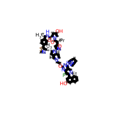 CCc1cccc2cc(O)cc(-c3ncc4c(N5CC6CCC(C5)N6)nc(OCCN5CC[C@H]6[C@H](CCN6c6cc([C@H](C(=O)N7C[C@H](O)C[C@H]7C(=O)N[C@@H](C)c7ccc(-c8scnc8C)cc7)C(C)C)on6)C5)nc4c3F)c12